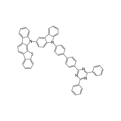 c1ccc(-c2nc(-c3ccccc3)nc(-c3ccc(-c4ccc(-n5c6ccccc6c6cc(-n7c8ccccc8c8ccc9c%10ccccc%10sc9c87)ccc65)cc4)cc3)n2)cc1